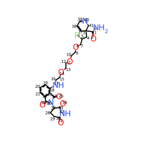 NC(=O)C1(CC(F)COCCOCCOCCNc2cccc3c2C(=O)N(C2CCC(=O)NC2=O)C3=O)C=CC=NC1